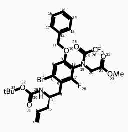 C=CC[C@H](Cc1c(Br)cc(OCc2ccccc2)c(N(CC(=O)OC)C(=O)C(F)(F)F)c1F)NC(=O)OC(C)(C)C